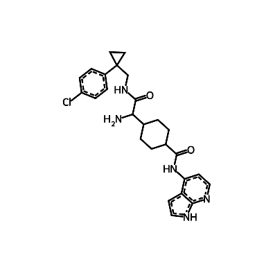 NC(C(=O)NCC1(c2ccc(Cl)cc2)CC1)C1CCC(C(=O)Nc2ccnc3[nH]ccc23)CC1